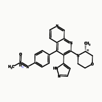 C[C@@H]1COCCN1c1nc2cnccc2c(-c2ccc(/N=[SH](/C)=O)cc2)c1-c1ccn[nH]1